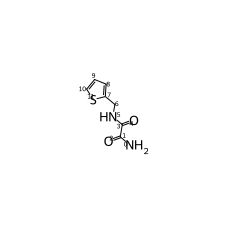 NC(=O)C(=O)NCc1cccs1